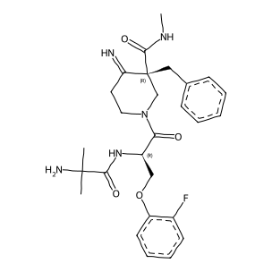 CNC(=O)[C@]1(Cc2ccccc2)CN(C(=O)[C@@H](COc2ccccc2F)NC(=O)C(C)(C)N)CCC1=N